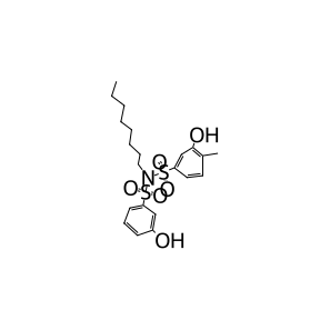 CCCCCCCCN(S(=O)(=O)c1cccc(O)c1)S(=O)(=O)c1ccc(C)c(O)c1